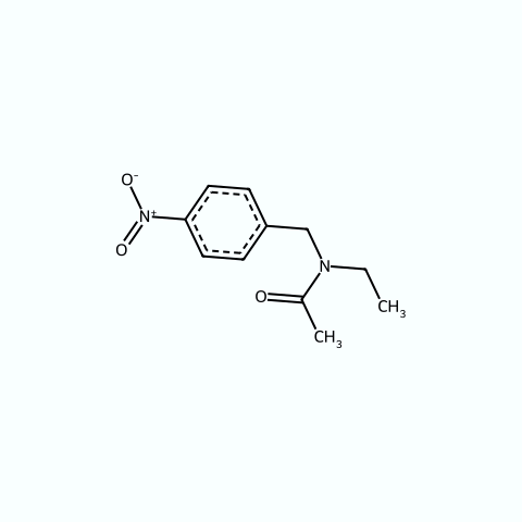 CCN(Cc1ccc([N+](=O)[O-])cc1)C(C)=O